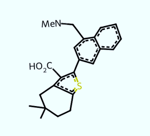 CNCc1cc(-c2sc3c(c2C(=O)O)CC(C)(C)CC3)cc2ccccc12